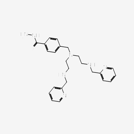 NNC(=O)c1ccc(CN(CCNCc2ccccn2)CCNCc2ccccn2)cc1